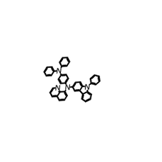 c1ccc(N(c2ccccc2)c2ccc(N(c3ccc4c(c3)c3ccccc3n4-c3ccccc3)c3cccc4cccnc34)cc2)cc1